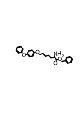 NC(CCCCCOc1ccc(Oc2ccccc2)cc1)C(=O)OCc1ccccc1